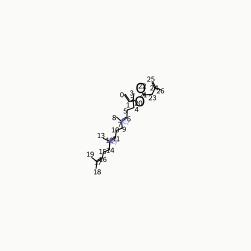 C=CC(C)(CC/C=C(\C)CC/C=C(\C)CCC=C(C)C)OC(=O)CC(=C)C